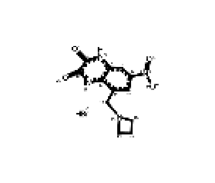 Br.O=c1[nH]c2cc([N+](=O)[O-])cc(CN3CCC3)c2[nH]c1=O